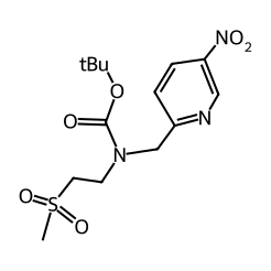 CC(C)(C)OC(=O)N(CCS(C)(=O)=O)Cc1ccc([N+](=O)[O-])cn1